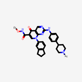 CCONC(=O)c1cn(-c2ccc3c(c2)CCC3)c2nc(Nc3ccc(C4CCN(C(C)=O)CC4)cc3)ncc2c1=O